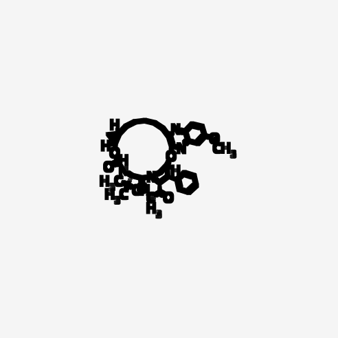 COc1ccc2nc3c(nc2c1)O[C@H]1CN(C(=O)[C@H](C(C)(C)C)NC(=O)O[C@@H]2C[C@H]2CCCCC3)[C@H](C(C)=O)[C@@H]1c1ccccc1